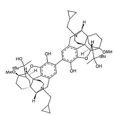 COC12CCC3(C[C@@H]1C(C)(O)C(C)(C)C)[C@H]1Cc4cc(-c5cc6c7c(c5O)O[C@H]5[C@@]8(OC)CC[C@@]9(C[C@@H]8C(C)(O)C(C)(C)C)[C@@H](C6)N(CC6CC6)CC[C@]759)c(O)c5c4[C@@]3(CCN1CC1CC1)[C@H]2O5